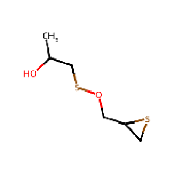 CC(O)CSOCC1CS1